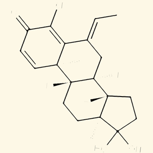 CC=C1C[C@@H]2[C@H](CC[C@@]3(C)[C@H]2CCC3(O)O)[C@@]2(C)C=CC(=O)C(Cl)=C12